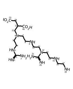 N=C(N)NCCN(CCNCCN(CCNCCN)C(=N)N)CC(CC(=O)O)C(=O)O